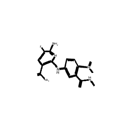 C=C(NC)c1cc(Nc2nc(N)c(F)cc2C(=C)N)ccc1N(C)C